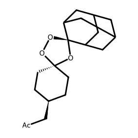 CC(=O)C[C@H]1CC[C@]2(CC1)OO[C@]1(O2)C2CC3CC(C2)CC1C3